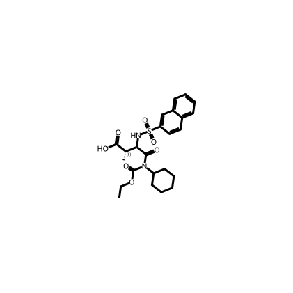 CCOC(=O)N(C(=O)C(NS(=O)(=O)c1ccc2ccccc2c1)[C@H](C)C(=O)O)C1CCCCC1